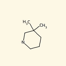 CC1(C)CCC[N]C1